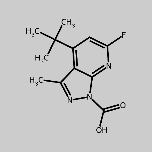 Cc1nn(C(=O)O)c2nc(F)cc(C(C)(C)C)c12